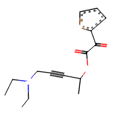 CCN(CC)CC#CC(C)OC(=O)C(=O)c1cccs1